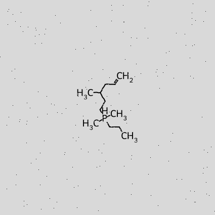 C=CCC(C)CC[PH](C)(C)CCC